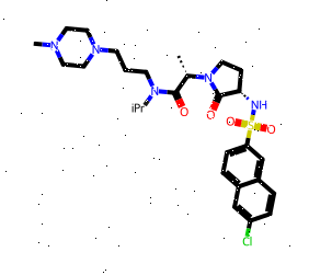 CC(C)N(CCCN1CCN(C)CC1)C(=O)[C@H](C)N1CC[C@H](NS(=O)(=O)c2ccc3cc(Cl)ccc3c2)C1=O